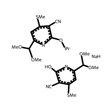 COC(OC)c1cc(SC)c(C#N)c(O)n1.COC(OC)c1cc(SC)c(C#N)c(OC(C)C)n1.[NaH]